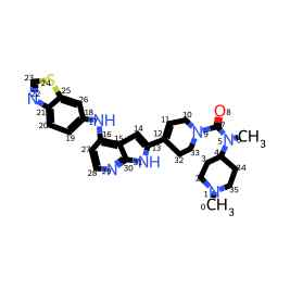 CN1CCC(N(C)C(=O)N2CC=C(c3cc4c(Nc5ccc6ncsc6c5)ccnc4[nH]3)CC2)CC1